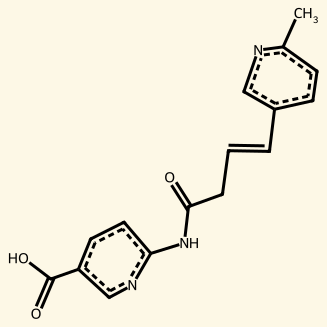 Cc1ccc(/C=C/CC(=O)Nc2ccc(C(=O)O)cn2)cn1